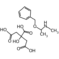 CNC(C)OCc1ccccc1.O=C(O)CC(O)(CC(=O)O)C(=O)O